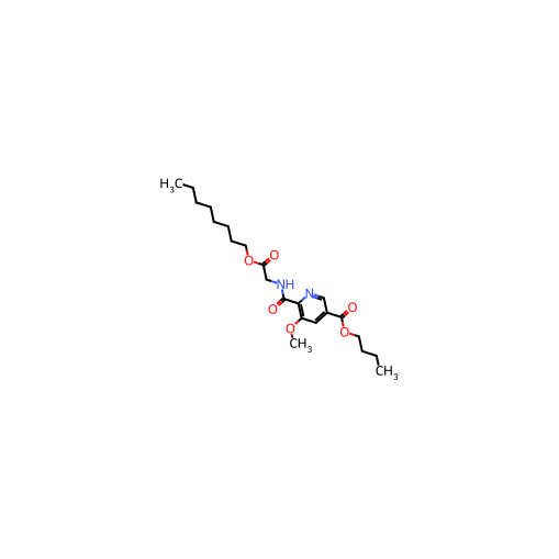 CCCCCCCCOC(=O)CNC(=O)c1ncc(C(=O)OCCCC)cc1OC